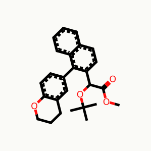 COC(=O)C(OC(C)(C)C)c1ccc2ccccc2c1-c1ccc2c(c1)CCCO2